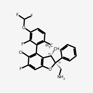 Cc1ccc(OC(F)F)c(F)c1-c1c(Cl)c(F)cc2c1[C@H](C)[C@@](CN)(c1ccccc1)O2